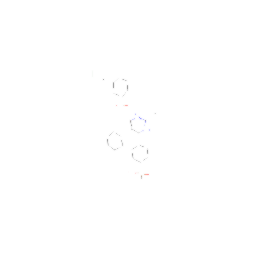 CS(=O)(=O)c1ccc(-c2nc(C(F)(F)F)nc(OS(=O)(=O)c3cccc(C(F)(F)F)c3)c2-c2ccccc2)cc1